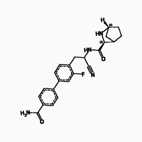 N#CC(Cc1ccc(-c2ccc(C(N)=O)cc2)cc1F)NC(=O)[C@H]1N[C@@H]2CCC1C2